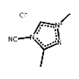 Cc1n[n+](C)cn1C#N.[Cl-]